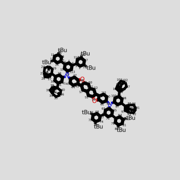 CC(C)(C)c1cc(-c2cc(-c3cc(C(C)(C)C)cc(C(C)(C)C)c3)cc(N(c3cc(C45CC6CC(CC4C6)C5)cc(C45CC6CC(CC4C6)C5)c3)c3ccc4c(c3)oc3cc5cc6c(cc5cc34)oc3cc(N(c4cc(-c5cc(C(C)(C)C)cc(C(C)(C)C)c5)cc(-c5cc(C(C)(C)C)cc(C(C)(C)C)c5)c4)c4cc(C57CC8CC(CC5C8)C7)cc(C57CC8CC(CC5C8)C7)c4)ccc36)c2)cc(C(C)(C)C)c1